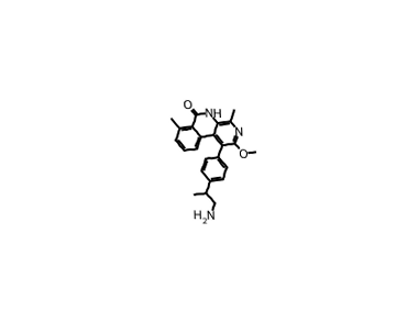 COc1nc(C)c2[nH]c(=O)c3c(C)cccc3c2c1-c1ccc(C(C)CN)cc1